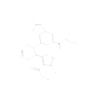 C=CC(=O)N1Cc2sc(Cl)cc2C(c2ccccc2-c2cnn(CC)c2C(=O)O)C1